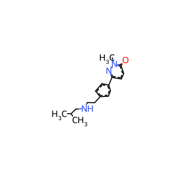 CC(C)CNCCc1ccc(-c2ccc(=O)n(C)n2)cc1